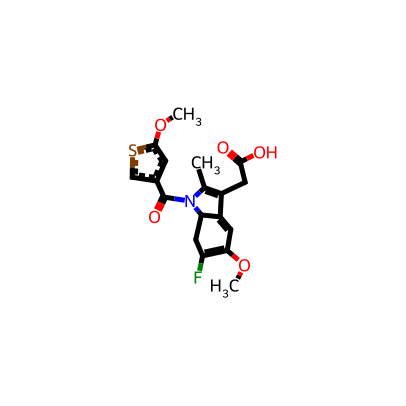 COC1=C(F)CC2C(=C1)C(CC(=O)O)=C(C)N2C(=O)c1csc(OC)c1